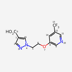 O=C(O)c1cnn(CCOc2cncc(C(F)(F)F)c2)c1